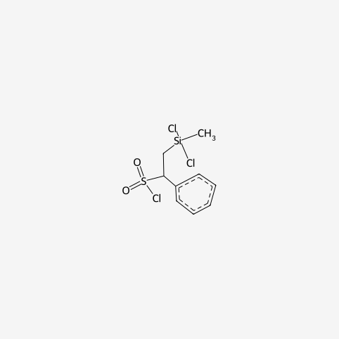 C[Si](Cl)(Cl)CC(c1ccccc1)S(=O)(=O)Cl